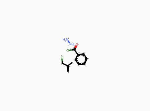 C=C(C)CCl.NN.O=C(Cl)c1ccccc1